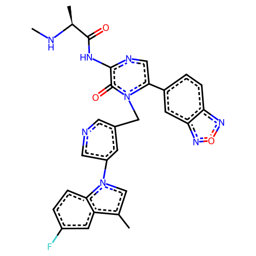 CN[C@@H](C)C(=O)Nc1ncc(-c2ccc3nonc3c2)n(Cc2cncc(-n3cc(C)c4cc(F)ccc43)c2)c1=O